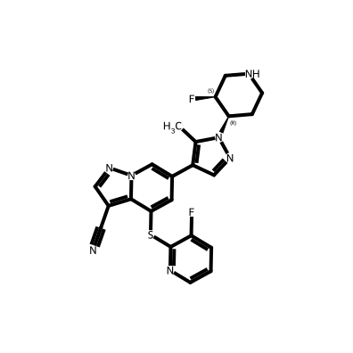 Cc1c(-c2cc(Sc3ncccc3F)c3c(C#N)cnn3c2)cnn1[C@@H]1CCNC[C@@H]1F